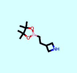 CC1(C)OB(CCC2CNC2)OC1(C)C